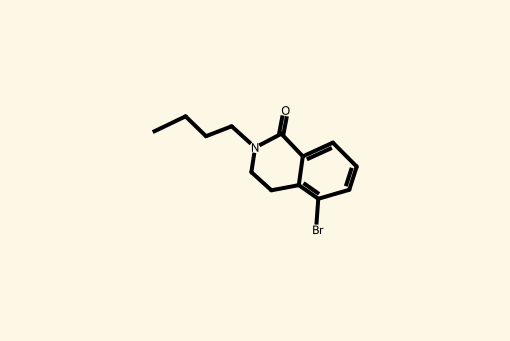 CCCCN1CCc2c(Br)cccc2C1=O